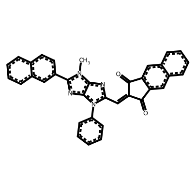 Cn1c(-c2ccc3ccccc3c2)nc2c1nc(C=C1C(=O)c3cc4ccccc4cc3C1=O)n2-c1ccccc1